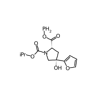 CC(C)OC(=O)N1C[C@](O)(c2ccco2)C[C@H]1C(=O)OP